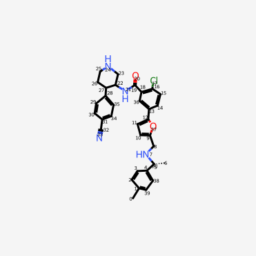 Cc1ccc([C@@H](C)NCc2ccc(-c3ccc(Cl)c(C(=O)NC4CNCCC4c4ccc(C#N)cc4)c3)o2)cc1